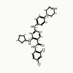 O=C(Nc1ccc(Cl)cc1Cl)c1cnc(Nc2ccc(N3CCNCC3)cc2)nc1NC1CCCC1